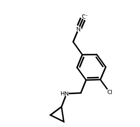 [C-]#[N+]Cc1ccc(Cl)c(CNC2CC2)c1